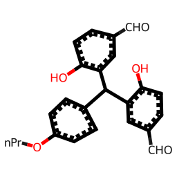 CCCOc1ccc(C(c2cc(C=O)ccc2O)c2cc(C=O)ccc2O)cc1